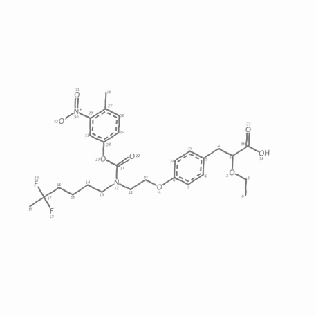 CCOC(Cc1ccc(OCCN(CCCCC(C)(F)F)C(=O)Oc2ccc(C)c([N+](=O)[O-])c2)cc1)C(=O)O